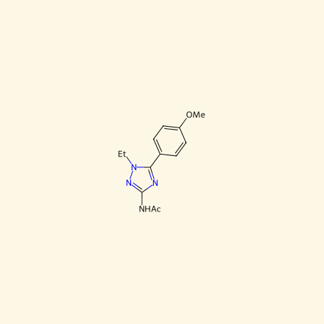 CCn1nc(NC(C)=O)nc1-c1ccc(OC)cc1